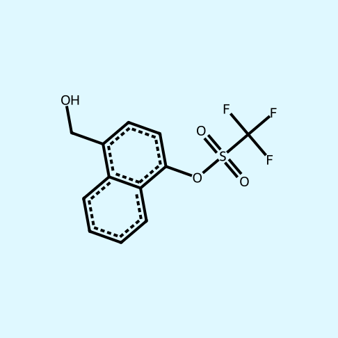 O=S(=O)(Oc1ccc(CO)c2ccccc12)C(F)(F)F